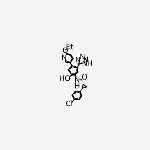 CCOc1ccc(-c2cc(O)c(NC(=O)[C@@H]3C[C@H]3c3ccc(Cl)cc3)cc2-c2nnn[nH]2)cn1